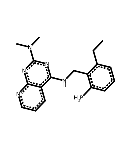 CCc1cccc(P)c1CNc1nc(N(C)C)nc2ncccc12